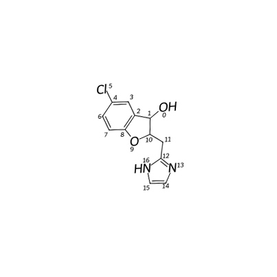 OC1c2cc(Cl)ccc2OC1Cc1ncc[nH]1